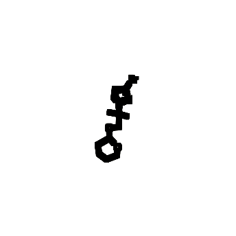 CC(C)(COC1CCCCO1)n1ccc(Br)n1